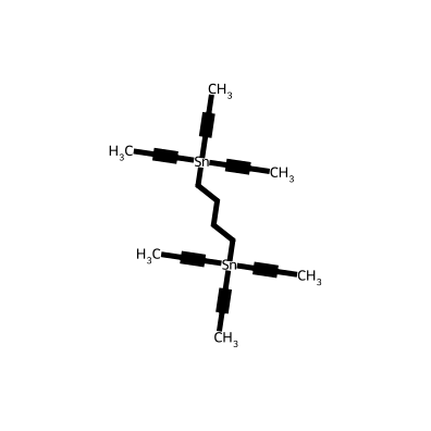 CC#[C][Sn]([C]#CC)([C]#CC)[CH2]CC[CH2][Sn]([C]#CC)([C]#CC)[C]#CC